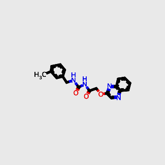 Cc1cccc(CNC(=O)NC(=O)COc2cnc3ccccc3n2)c1